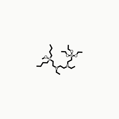 CCCC[Si](CCCC)(CCN(CC)CCN(CC)CC[Si](OCC)(OCC)OCC)OC